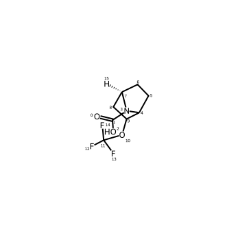 O=C(O)N1C2CC[C@@H]1CC2OC(F)(F)F